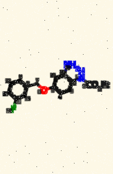 CCOC(=O)Nc1ccc(OCc2cccc(F)c2)cc1N